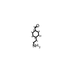 NCCC1CCC([C]=O)CC1